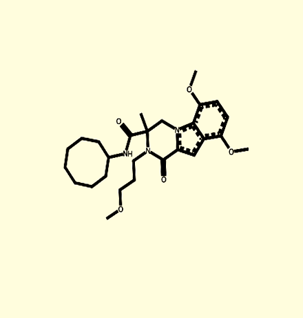 COCCCN1C(=O)c2cc3c(OC)ccc(OC)c3n2CC1(C)C(=O)NC1CCCCCCC1